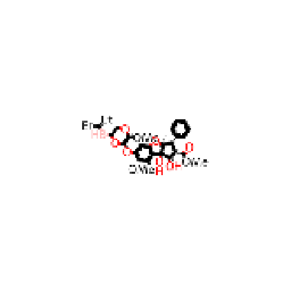 CCC(BC1CO[C@@H](OC)[C@H](Oc2cc(OC)c3c(c2)O[C@@]2(C)[C@H](c4ccccc4)[C@@H](C(=O)OC)[C@@H](O)[C@@]32O)O1)CC